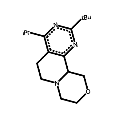 CC(C)c1nc(C(C)(C)C)nc2c1CCN1CCOCC21